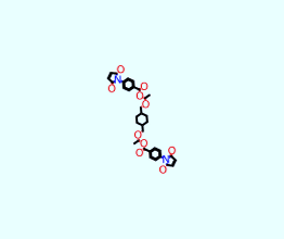 CC(OCC1CCC(COC(C)OC(=O)c2ccc(N3C(=O)C=CC3=O)cc2)CC1)OC(=O)c1ccc(N2C(=O)C=CC2=O)cc1